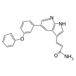 NC(=O)C=Cc1c[nH]c2ncc(-c3cccc(Oc4ccccc4)c3)cc12